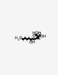 CCCCCC(O)/C=C/C1CC1(C(=O)O)C(=O)O